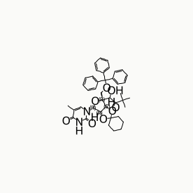 Cc1cn([C@@H]2O[C@](COC(c3ccccc3)(c3ccccc3)c3ccccc3)(C(O)C(=O)C(C)(C)C)[C@H]3OC4(CCCCC4)O[C@@H]23)c(=O)[nH]c1=O